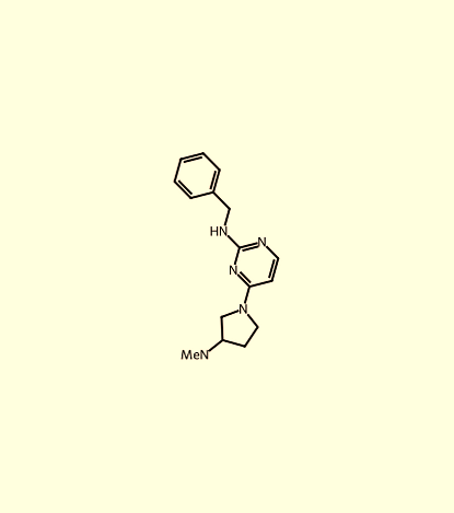 CNC1CCN(c2ccnc(NCc3ccccc3)n2)C1